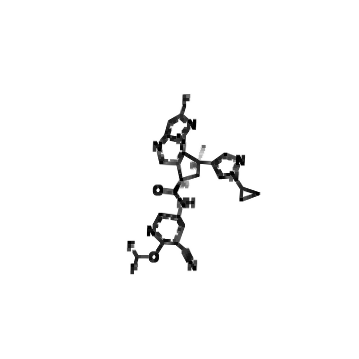 C[C@]1(c2cnn(C3CC3)c2)C[C@@H](C(=O)Nc2cnc(OC(F)F)c(C#N)c2)c2cnc3cc(F)nn3c21